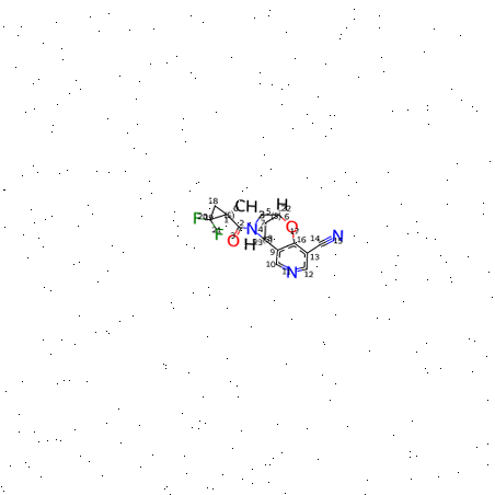 C[C@@]1(C(=O)N2C[C@@H]3C[C@H]2c2cncc(C#N)c2O3)CC1(F)F